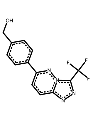 OCc1ccc(-c2ccc3nnc(C(F)(F)F)n3n2)cc1